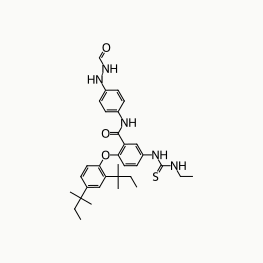 CCNC(=S)Nc1ccc(Oc2ccc(C(C)(C)CC)cc2C(C)(C)CC)c(C(=O)Nc2ccc(NNC=O)cc2)c1